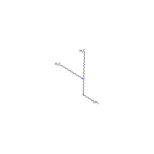 CCCCCCCC/C=C\CCCCCCCCCN(CCCCCCCCCCCCCCCCCC)CCCCCCCCCCCCCCCCCC